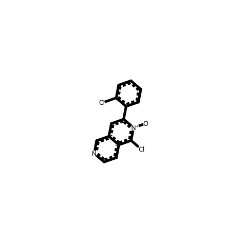 [O-][n+]1c(-c2ccccc2Cl)cc2cnccc2c1Cl